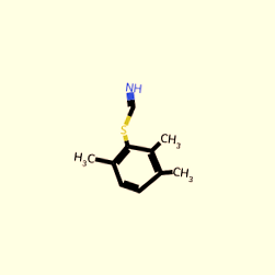 Cc1ccc(C)c(SC=N)c1C